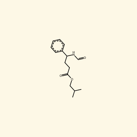 CC(C)COC(=O)CCC(NC=O)c1ccccc1